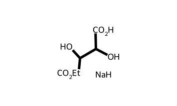 CCOC(=O)C(O)C(O)C(=O)O.[NaH]